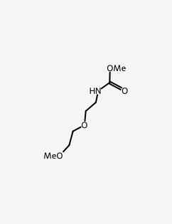 [CH2]OC(=O)NCCOCCOC